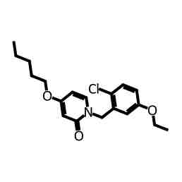 CCCCCOc1ccn(Cc2cc(OCC)ccc2Cl)c(=O)c1